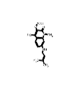 CCCCCCCCOc1c(O)c2ccc(NCC=C(C)C)cc2n(C)c1=O